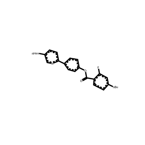 CCCCCCc1ccc(-c2ccc(OC(=O)c3ccc(CCCC)cc3F)cc2)nc1